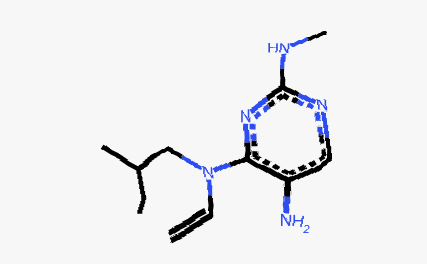 C=CN(CC(C)C)c1nc(NC)ncc1N